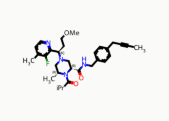 CC#CCc1ccc(CNC(=O)[C@H]2CN([C@H](CCOC)c3nccc(C)c3F)C[C@@H](C)N2C(=O)C(C)C)cc1